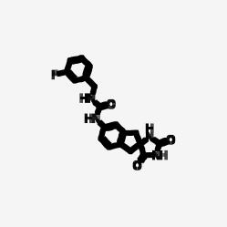 O=C(NCc1cccc(F)c1)Nc1ccc2c(c1)CC1(C2)NC(=O)NC1=O